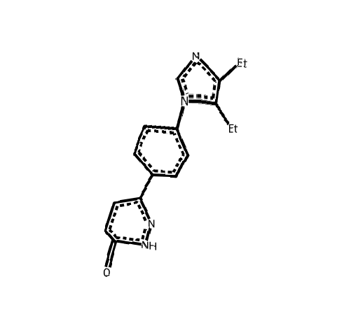 CCc1ncn(-c2ccc(-c3ccc(=O)[nH]n3)cc2)c1CC